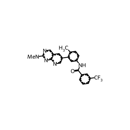 CNc1ncc2cc(-c3cc(NC(=O)c4cccc(C(F)(F)F)c4)ccc3C)cnc2n1